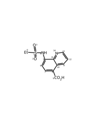 CCS(=O)(=O)Nc1ccc(C(=O)O)c2cccnc12